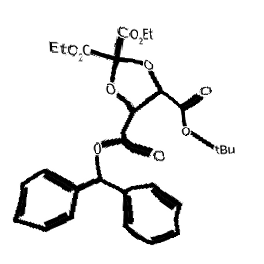 CCOC(=O)C1(C(=O)OCC)OC(C(=O)OC(c2ccccc2)c2ccccc2)C(C(=O)OC(C)(C)C)O1